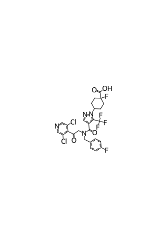 O=C(CN(Cc1ccc(F)cc1)C(=O)c1cnn(C2CCC(F)(C(=O)O)CC2)c1C(F)(F)F)c1c(Cl)cncc1Cl